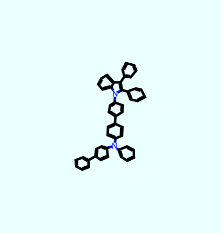 c1ccc(-c2ccc(N(c3ccccc3)c3ccc(-c4ccc(-n5c(-c6ccccc6)c(-c6ccccc6)c6ccccc65)cc4)cc3)cc2)cc1